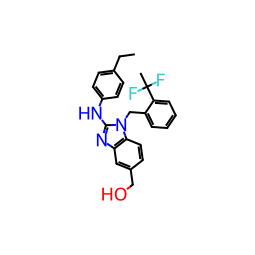 CCc1ccc(Nc2nc3cc(CO)ccc3n2Cc2ccccc2C(C)(F)F)cc1